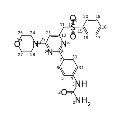 NC(=O)Nc1ccc(-c2nc(CS(=O)(=O)c3ccccc3)cc(N3CCOCC3)n2)cc1